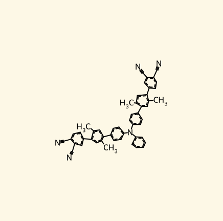 Cc1cc(-c2ccc(C#N)c(C#N)c2)c(C)cc1-c1ccc(N(c2ccccc2)c2ccc(-c3cc(C)c(-c4ccc(C#N)c(C#N)c4)cc3C)cc2)cc1